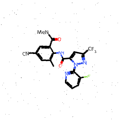 [C-]#[N+]c1cc(C)c(NC(=O)c2cc(C(F)(F)F)nn2-c2ncccc2F)c(C(=O)NC)c1